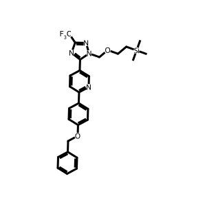 C[Si](C)(C)CCOCn1nc(C(F)(F)F)nc1-c1ccc(-c2ccc(OCc3ccccc3)cc2)nc1